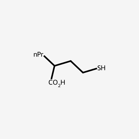 CCCC(CCS)C(=O)O